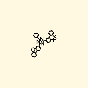 CC1(C)c2ccccc2-c2cc(-c3nc(-c4ccccc4)nc(-c4ccc5c(c4)oc4ccccc45)n3)ccc2C1(C)C